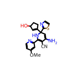 COc1ccnc(C2=C(C#N)C(N)=CC(C3=CC(O)CC3)(c3nccs3)N2)c1